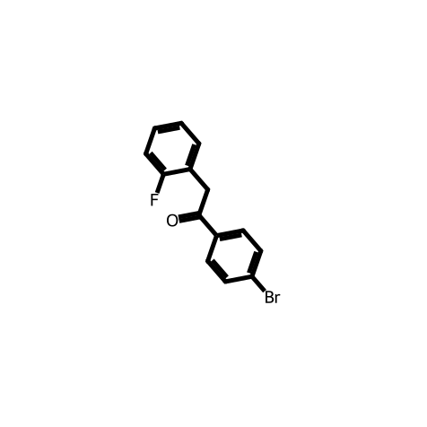 O=C(Cc1ccccc1F)c1ccc(Br)cc1